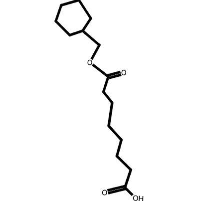 O=C(O)CCCCCCC(=O)OCC1CCCCC1